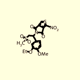 CCOc1cc(C(CS(C)(=O)=O)N2C(=O)c3csc([N+](=O)[O-])c3C2=O)ccc1OC